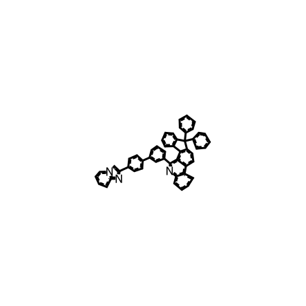 c1ccc(C2(c3ccccc3)c3ccccc3-c3c2ccc2c3c(-c3cccc(-c4ccc(-c5cn6ccccc6n5)cc4)c3)nc3ccccc32)cc1